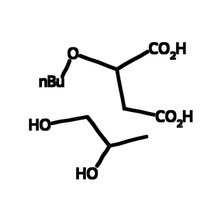 CC(O)CO.CCCCOC(CC(=O)O)C(=O)O